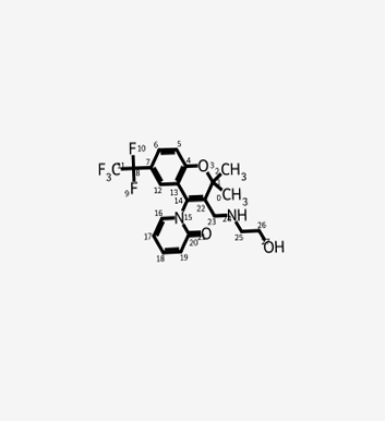 CC1(C)Oc2ccc(C(F)(F)C(F)(F)F)cc2C(n2ccccc2=O)=C1CNCCO